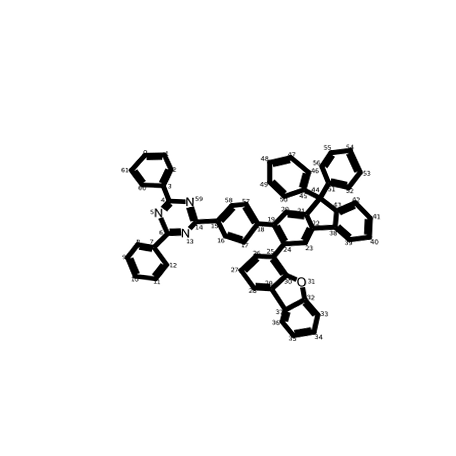 c1ccc(-c2nc(-c3ccccc3)nc(-c3ccc(-c4cc5c(cc4-c4cccc6c4oc4ccccc46)-c4ccccc4C5(c4ccccc4)c4ccccc4)cc3)n2)cc1